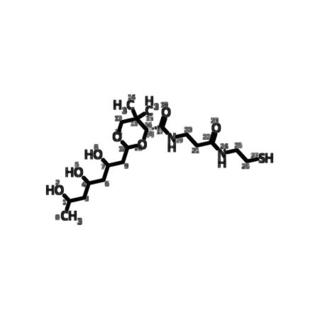 CC(O)CC(O)CC(O)CC1OCC(C)(C)[C@H](C(=O)NCCC(=O)NCCS)O1